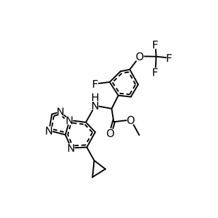 COC(=O)C(Nc1cc(C2CC2)nc2ncnn12)c1ccc(OC(F)(F)F)cc1F